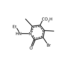 CCNn1c(C)c(C(=O)O)c(C)c(Br)c1=O